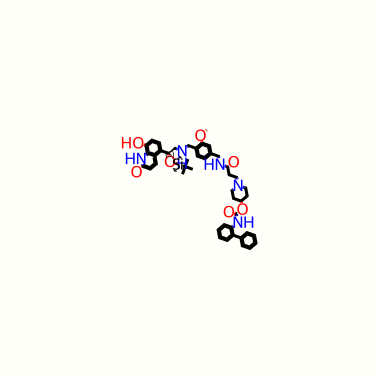 COc1cc(CNC(=O)CCN2CCC(OC(=O)Nc3ccccc3-c3ccccc3)CC2)ccc1CNC[C@@H](O[Si](C)(C)C(C)(C)C)c1ccc(O)c2[nH]c(=O)ccc12